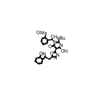 CCCCc1nc(O)c(-c2nnc(Cc3noc4ccccc34)o2)c(=O)n1C(C)c1ccccc1OC